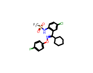 O=S(=O)(Nc1ccc(Cl)cc1/C(=N/Oc1ccc(F)cc1)C1CCCCC1)C(F)(F)F